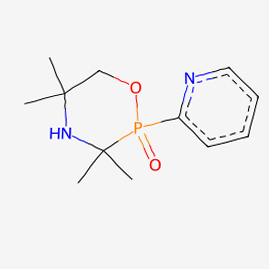 CC1(C)COP(=O)(c2ccccn2)C(C)(C)N1